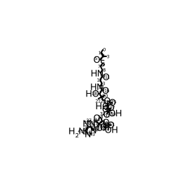 C/C=C(\C)C(=O)SCCNC(=O)CCNC(=O)[C@H](O)C(C)(C)COP(=O)(O)OP(=O)(O)OC[C@H]1O[C@@H](n2cnc3c(N)ncnc32)[C@H](O)[C@@H]1OP(=O)(O)O